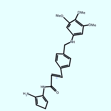 COc1cc(NCc2ccc(/C=C/C(=O)NC3=CCC=C3N)cc2)cc(OC)c1OC